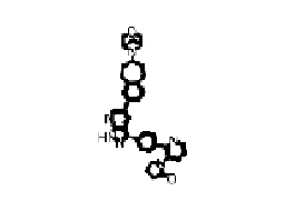 O=C1CCCN1c1cccnc1-c1ccc(-c2n[nH]c3ncc(-c4ccc5c(c4)CC[C@@H](N4C6COCC4C6)CC5)cc23)cc1